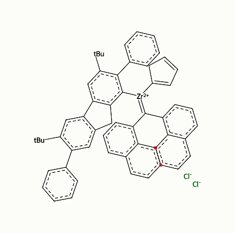 CC(C)(C)c1cc2c(cc1-c1ccccc1)Cc1c-2cc(C(C)(C)C)c(-c2ccccc2)[c]1[Zr+2]([C]1=CC=CC1)=[C](c1cccc2ccccc12)c1cccc2ccccc12.[Cl-].[Cl-]